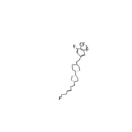 FCCC=CCC[C@H]1CC[C@H]([C@H]2CC[C@H](CCc3cc(F)c(C(F)(F)F)c(F)c3)CC2)CC1